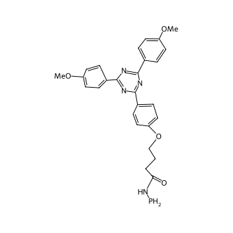 COc1ccc(-c2nc(-c3ccc(OC)cc3)nc(-c3ccc(OCCCC(=O)NP)cc3)n2)cc1